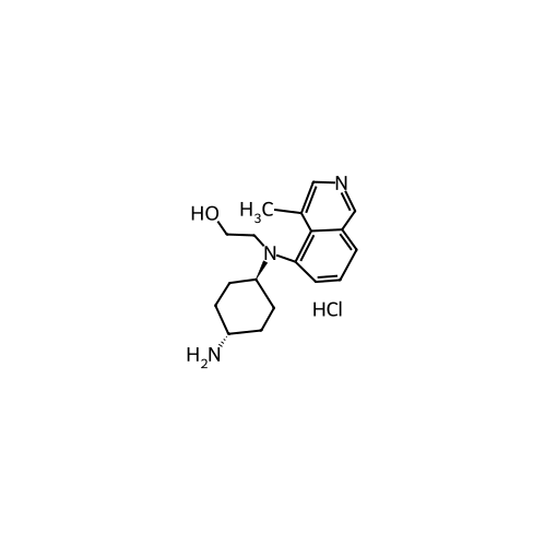 Cc1cncc2cccc(N(CCO)[C@H]3CC[C@H](N)CC3)c12.Cl